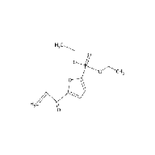 C=CC(=O)c1ccc(P(=O)(OCC)OCC)o1